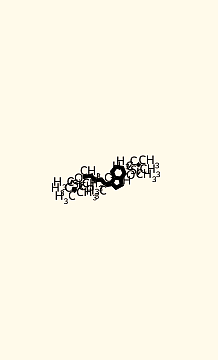 CC(CCCC(C)(C)O[Si](C)(C)C(C)(C)C)=C1CC[C@H]2[C@@H](O[Si](C)(C)C(C)(C)C)CCC[C@]12C